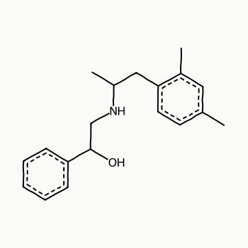 Cc1ccc(CC(C)NCC(O)c2ccccc2)c(C)c1